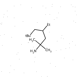 CCC(CC(C)(C)C)CC(C)(C)N